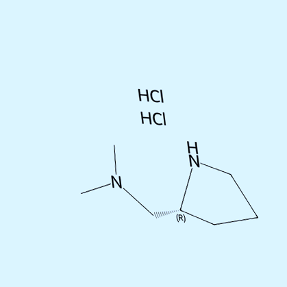 CN(C)C[C@H]1CCCN1.Cl.Cl